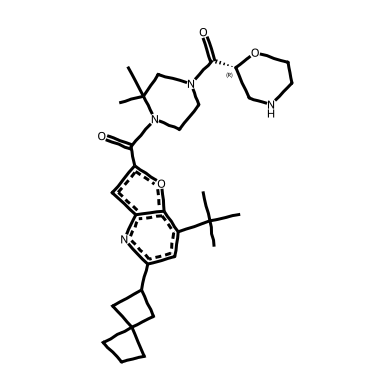 CC(C)(C)c1cc(C2CC3(CCC3)C2)nc2cc(C(=O)N3CCN(C(=O)[C@H]4CNCCO4)CC3(C)C)oc12